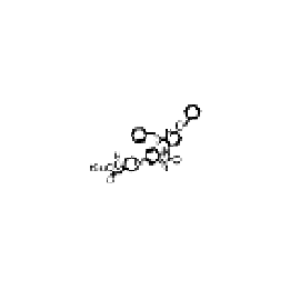 Cn1c(=O)n(-c2ccc(OCc3ccccc3)nc2OCc2ccccc2)c2ccc(N3CCC(O)(CC(=O)OC(C)(C)C)CC3)cc21